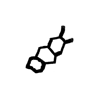 O=C1[C]=C2Cc3ccccc3CC2=CC1=O